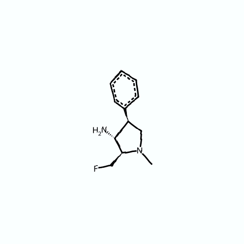 CN1C[C@H](c2ccccc2)[C@@H](N)[C@@H]1CF